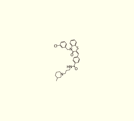 CC1CCCN(CCCNC(=O)c2ccc(/C=C3/Sc4ccccc4N(Cc4cccc(Cl)c4)C3=O)cc2)C1